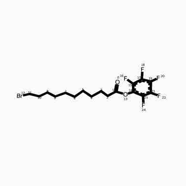 O=C(CCCCCCCCCCBr)Oc1c(F)c(F)c(F)c(F)c1F